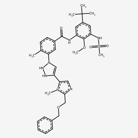 COc1c(NC(=O)c2ccc(C)c(N3C=C(c4cnc(COCc5ccccc5)n4C)NN3)c2)cc(C(C)(C)C)cc1NS(C)(=O)=O